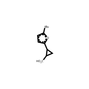 CC(C)(C)c1ccc(C2CC2C(=O)O)o1